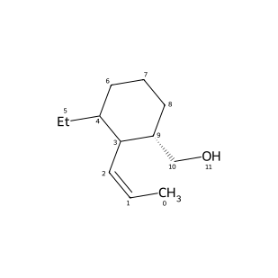 C/C=C\C1C(CC)CCC[C@@H]1CO